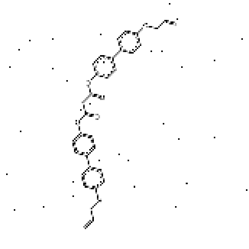 C=CCOc1ccc(-c2ccc(OC(=O)CC(=O)Oc3ccc(-c4ccc(OCC=C)cc4)cc3)cc2)cc1